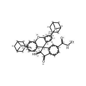 CCNC(=O)c1ccc2c(c1)C1(C(=N)C2=O)c2ccc(N3C4CC3CN(C)C4)cc2Oc2cc(N3C4CC3CN(C)C4)ccc21